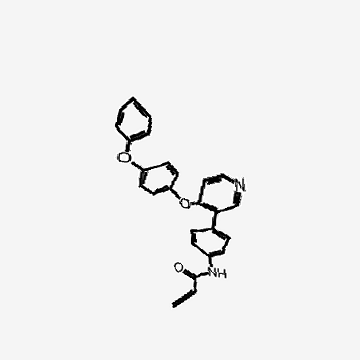 C=CC(=O)Nc1ccc(-c2cnccc2Oc2ccc(Oc3ccccc3)cc2)cc1